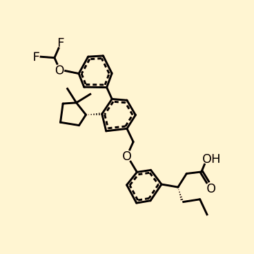 CCC[C@@H](CC(=O)O)c1cccc(OCc2ccc(-c3cccc(OC(F)F)c3)c([C@@H]3CCCC3(C)C)c2)c1